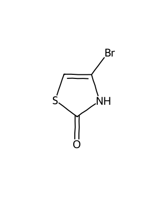 O=c1[nH]c(Br)cs1